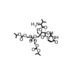 C=C1NC(=O)C=CN1[C@@H]1O[C@](CF)(COP(=O)(OCOC(=O)OC(C)C)OCOC(=O)OC(C)C)[C@@H](OC(=O)C(N)C(C)C)[C@@]1(C)O